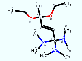 CCO[Si](C)(C=C[Si](N(C)C)(N(C)C)N(C)C)OCC